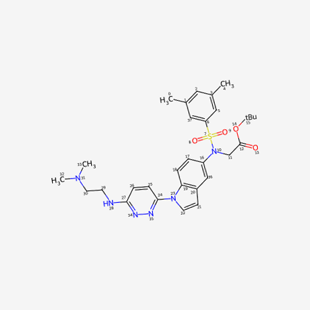 Cc1cc(C)cc(S(=O)(=O)N(CC(=O)OC(C)(C)C)c2ccc3c(ccn3-c3ccc(NCCN(C)C)nn3)c2)c1